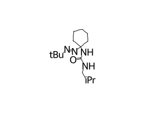 CC(C)CNC(=O)NC1(/N=N/C(C)(C)C)CCCCC1